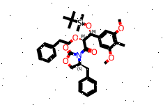 COc1cc([C@@H](O[Si](C)(C)C(C)(C)C)[C@@H](OCCc2ccccc2)C(=O)N2C(=O)OC[C@@H]2Cc2ccccc2)cc(OC)c1C